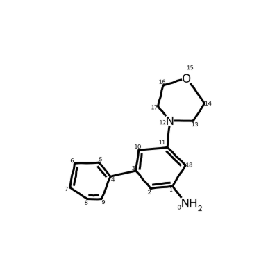 Nc1cc(-c2ccccc2)cc(N2CCOCC2)c1